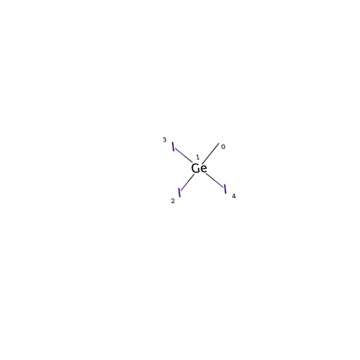 [CH3][Ge]([I])([I])[I]